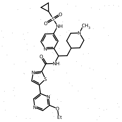 CCOc1cncc(-c2cnc(C(=O)NC(CC3CCN(C)CC3)c3cc(NS(=O)(=O)C4CC4)ccn3)s2)n1